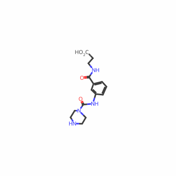 O=C(O)CCNC(=O)c1cccc(NC(=O)N2CCNCC2)c1